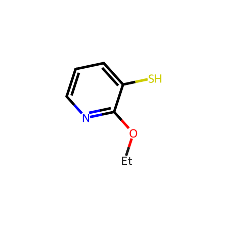 CCOc1ncccc1S